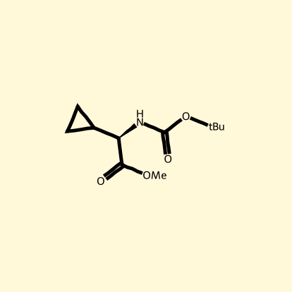 COC(=O)[C@H](NC(=O)OC(C)(C)C)C1CC1